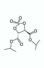 CC(C)OC(=O)[C@@H]1OS(=O)(=O)O[C@H]1C(=O)OC(C)C